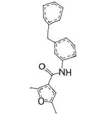 Cc1cc(C(=O)Nc2cccc(Cc3ccccc3)c2)c(C)o1